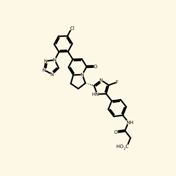 O=C(O)CC(=O)Nc1ccc(-c2[nH]c([C@@H]3CCc4cc(-c5cc(Cl)ccc5-n5cnnn5)cc(=O)n43)nc2F)cc1